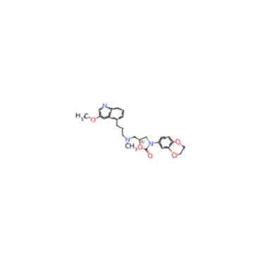 COc1cnc2cccc(CCCN(C)C[C@H]3CN(c4ccc5c(c4)OCCO5)C(=O)O3)c2c1